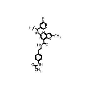 CC(=O)Nc1ccc(CCNC(=O)c2nc(NC(C)c3cncc(F)c3)nc3cc(C)sc23)cc1